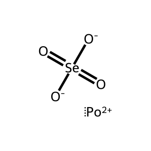 O=[Se](=O)([O-])[O-].[Po+2]